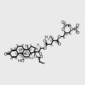 CCC(=O)O[C@]1(C(=O)COC(=O)CC(N)C(=O)OCC(CO[N+](=O)[O-])O[N+](=O)[O-])[C@@H](C)C[C@H]2[C@@H]3CCC4=CC(=O)C=C[C@]4(C)[C@@]3(Cl)[C@@H](O)C[C@@]21C